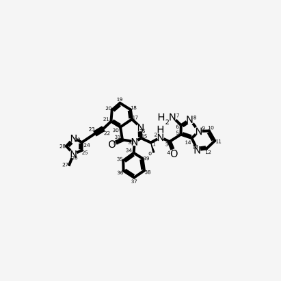 C[C@H](NC(=O)c1c(N)nn2cccnc12)c1nc2cccc(C#Cc3cn(C)cn3)c2c(=O)n1-c1ccccc1